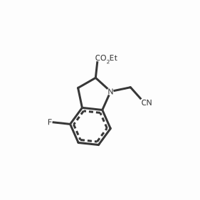 CCOC(=O)C1Cc2c(F)cccc2N1CC#N